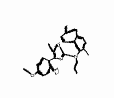 CCCN(c1nc(-c2ccc(OC)cc2Cl)c(C)s1)c1c(C)ccc2cc(C)ccc12